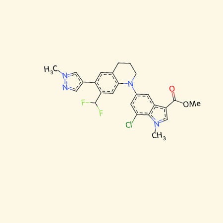 COC(=O)c1cn(C)c2c(Cl)cc(N3CCCc4cc(-c5cnn(C)c5)c(C(F)F)cc43)cc12